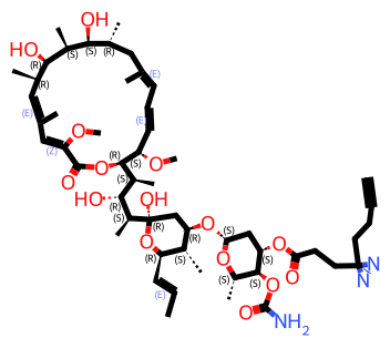 C#CCCC1(CCC(=O)O[C@H]2C[C@@H](O[C@@H]3C[C@](O)([C@@H](C)[C@H](O)[C@H](C)[C@H]4OC(=O)/C(OC)=C/C(C)=C/[C@@H](C)[C@@H](O)[C@@H](C)[C@@H](O)[C@H](C)C/C(C)=C/C=C/[C@@H]4OC)O[C@H](/C=C/C)[C@H]3C)O[C@@H](C)[C@@H]2OC(N)=O)N=N1